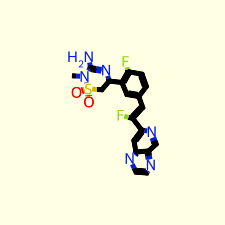 CN1C(N)=NC(c2cc(/C=C(\F)c3cc4nccnc4cn3)ccc2F)CS1(=O)=O